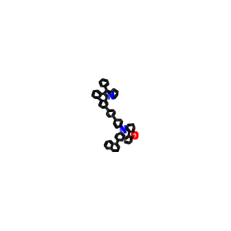 c1ccc(-c2c3c4ccccc4c4ccc(-c5ccc(-c6ccc(N(c7ccc(-c8cccc9ccccc89)cc7)c7cccc8oc9ccccc9c78)cc6)cc5)cc4c3n3ccccc23)cc1